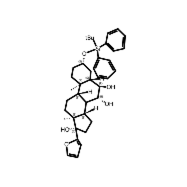 CC(C)(C)[Si](O[C@H]1CC[C@@]2(C)[C@H](C1)[C@@H](O)[C@H](O)C1[C@@H]2CC[C@@]2(C)[C@H]1CC[C@@]2(O)c1ccco1)(c1ccccc1)c1ccccc1